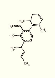 C=Cc1c(C2=C(C)C=CCC2C)ccc(C(C)/C=C/C)c1C